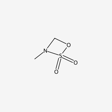 CN1COS1(=O)=O